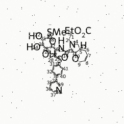 CCOC(=O)CCN1C[C@@H]2CC=CCOC2[C@H]1C(=O)N[C@@H](C1OC(SC)C(O)C(O)C1O)[C@H](C)Sc1ccc(-c2cccnc2)cc1